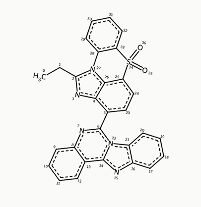 CCc1nc2c(-c3nc4ccccc4c4nc5ccccc5n34)ccc3c2n1-c1ccccc1S3(=O)=O